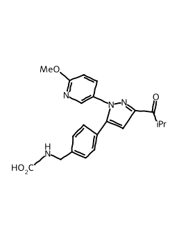 COc1ccc(-n2nc(C(=O)C(C)C)cc2-c2ccc(CNC(=O)O)cc2)cn1